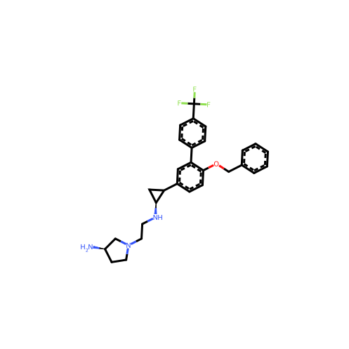 N[C@@H]1CCN(CCN[C@H]2CC2c2ccc(OCc3ccccc3)c(-c3ccc(C(F)(F)F)cc3)c2)C1